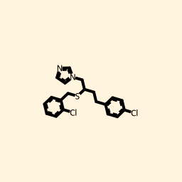 Clc1ccc(CCC(Cn2ccnc2)SCc2ccccc2Cl)cc1